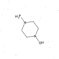 ON1CCN(P)CC1